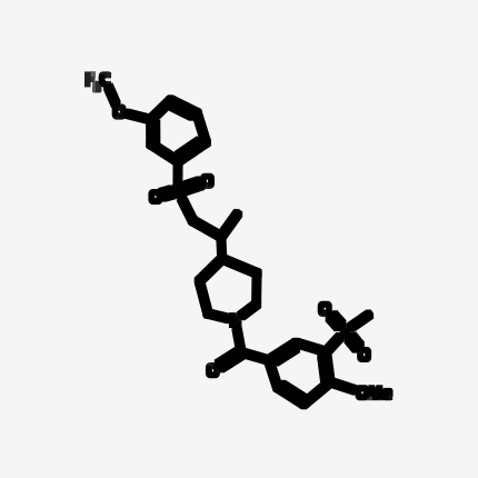 COc1ccc(C(=O)N2CCC(C(C)CS(=O)(=O)c3cccc(OC(F)(F)F)c3)CC2)cc1S(C)(=O)=O